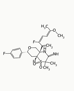 C=C(/C(F)=C\C=C(/C)OC)[C@]12CO[C@@H](c3ccc(F)cc3)C[C@H]1S(=O)(=O)C(C)(C)C(=N)N2